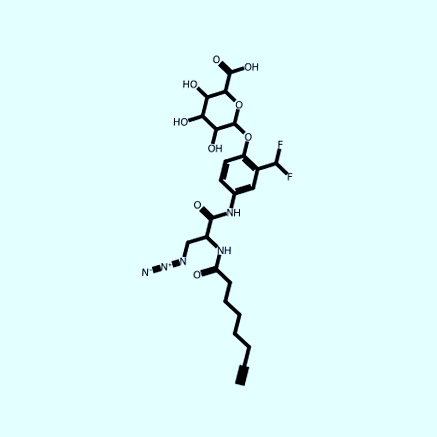 C#CCCCCCC(=O)NC(CN=[N+]=[N-])C(=O)Nc1ccc(OC2OC(C(=O)O)C(O)C(O)C2O)c(C(F)F)c1